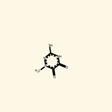 Cn1nc(S)[nH]c(=O)c1=O